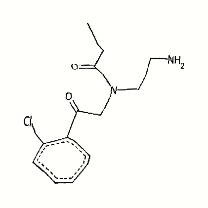 CCC(=O)N(CCN)CC(=O)c1ccccc1Cl